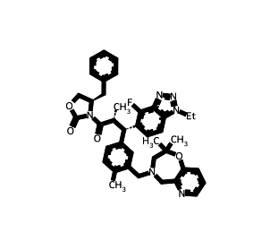 CCn1nnc2c(F)c([C@H](c3ccc(C)c(CN4Cc5ncccc5OC(C)(C)C4)c3)[C@@H](C)C(=O)N3C(=O)OC[C@H]3Cc3ccccc3)ccc21